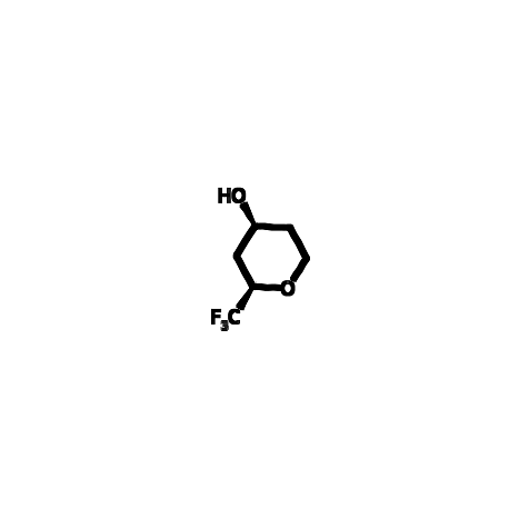 O[C@H]1CCO[C@@H](C(F)(F)F)C1